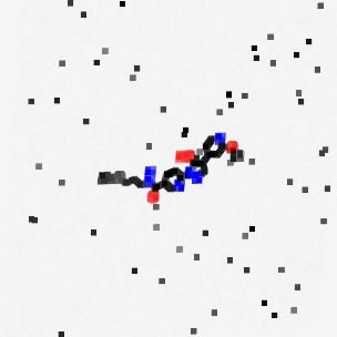 CCOc1cc(-c2cnn(-c3ccc(C(=O)NCCCOC)cn3)c2O)ccn1